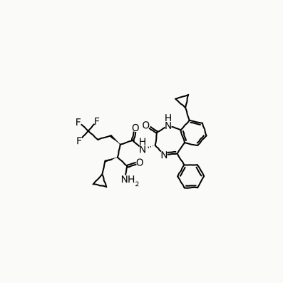 NC(=O)[C@@H](CC1CC1)[C@@H](CCC(F)(F)F)C(=O)N[C@H]1N=C(c2ccccc2)c2cccc(C3CC3)c2NC1=O